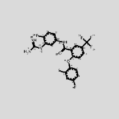 Cc1cc(F)ccc1Oc1ccc(C(F)(F)F)cc1C(=O)Nc1ccc(F)c(NC(=N)N)c1